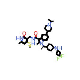 CSc1cc(C)[nH]c(=O)c1CNC(=O)c1c(C)n([C@H](C)C2CCC(NC3CC(F)(F)C3)CC2)c2ccc(C3CCN(C(C)C)CC3)cc12